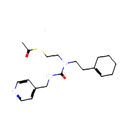 CC(=O)SCCN(CCC1=CCCCC1)C(=O)NCc1ccncc1.Cl